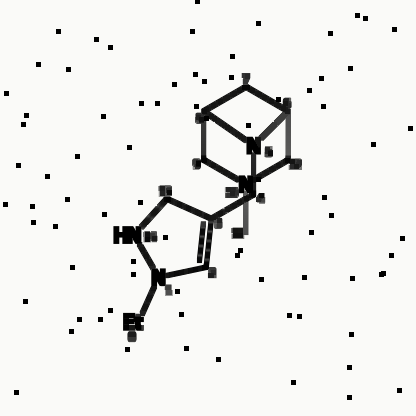 CCN1C=C(CN2C3CC2CN(C)C3)CN1